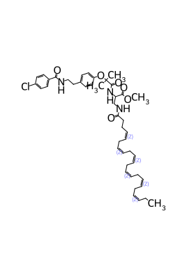 CC/C=C\C/C=C\C/C=C\C/C=C\C/C=C\C/C=C\CCC(=O)NCC(NC(=O)C(C)(C)Oc1ccc(CCNC(=O)c2ccc(Cl)cc2)cc1)C(=O)OC